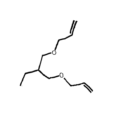 [CH2]CC(COCC=C)COCC=C